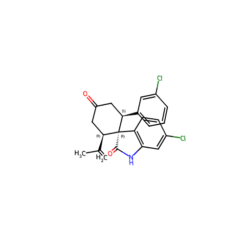 C=C(C)[C@H]1CC(=O)C[C@@H](c2cccc(Cl)c2)[C@]12C(=O)Nc1cc(Cl)ccc12